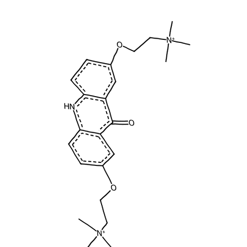 C[N+](C)(C)CCOc1ccc2[nH]c3ccc(OCC[N+](C)(C)C)cc3c(=O)c2c1